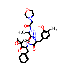 Cc1ccc(CC(NC(=O)C(C)NC(=O)CN2CCOCC2)C(=O)NC(CC2=CCCCC2)C(=O)C2(C)CO2)cc1O